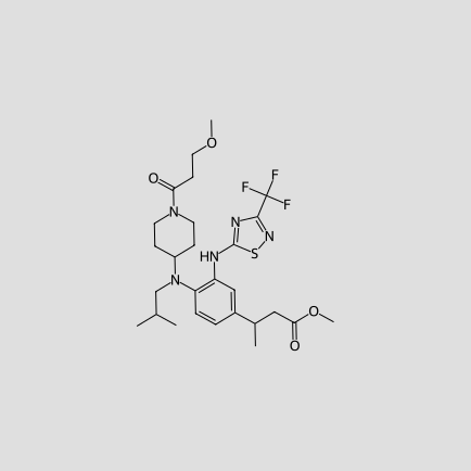 COCCC(=O)N1CCC(N(CC(C)C)c2ccc(C(C)CC(=O)OC)cc2Nc2nc(C(F)(F)F)ns2)CC1